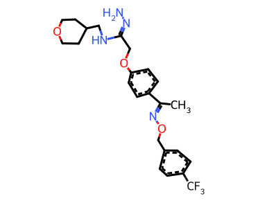 C/C(=N\OCc1ccc(C(F)(F)F)cc1)c1ccc(OC/C(=N/N)NCC2CCOCC2)cc1